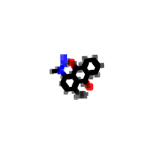 CCCc1ccc(N(C)N)c2c1C(=O)c1ccccc1C2=O